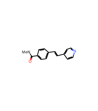 CNC(=O)c1ccc(/C=C/c2ccncc2)cc1